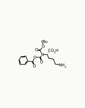 CC(C)(C)OC(=O)N(C(=O)OC(=O)c1ccccc1)[C@@H](CCCN)C(=O)O